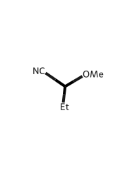 [CH2]OC(C#N)CC